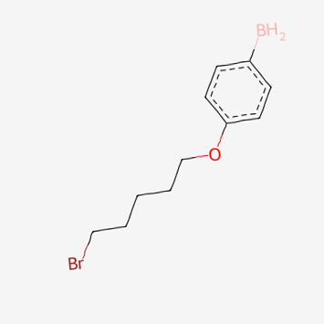 Bc1ccc(OCCCCCBr)cc1